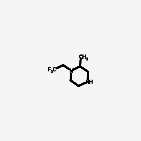 CC1CNCCN1CC(F)(F)F